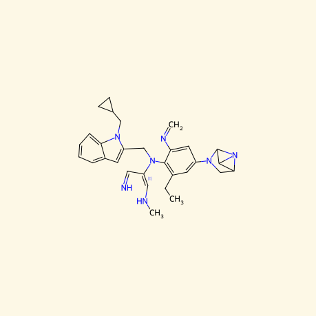 C=Nc1cc(N2CC3C4C2N34)cc(CC)c1N(Cc1cc2ccccc2n1CC1CC1)/C(C=N)=C/NC